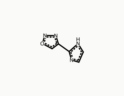 c1c[nH]c(-c2conn2)n1